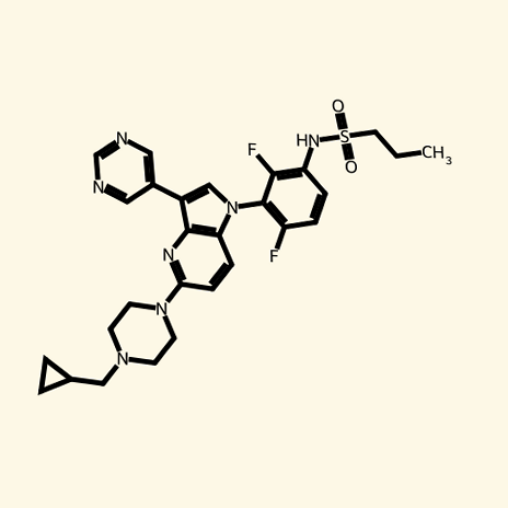 CCCS(=O)(=O)Nc1ccc(F)c(-n2cc(-c3cncnc3)c3nc(N4CCN(CC5CC5)CC4)ccc32)c1F